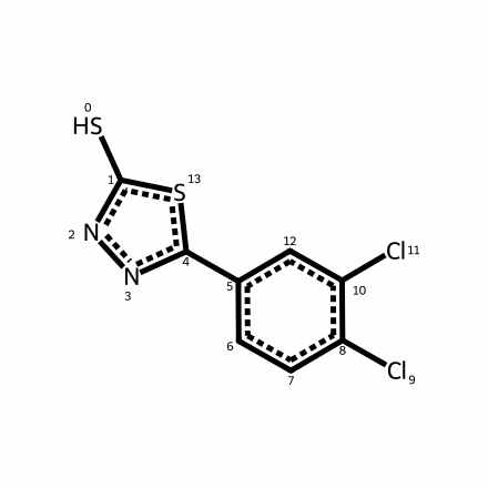 Sc1nnc(-c2ccc(Cl)c(Cl)c2)s1